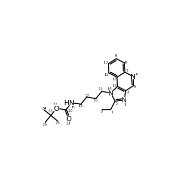 CCc1nc2cnc3ccccc3c2n1CCCCNC(=O)OC(C)(C)C